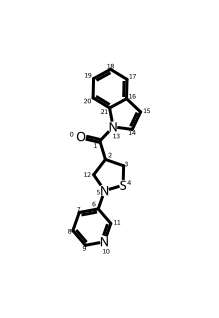 O=C(C1CSN(c2cccnc2)C1)n1ccc2ccccc21